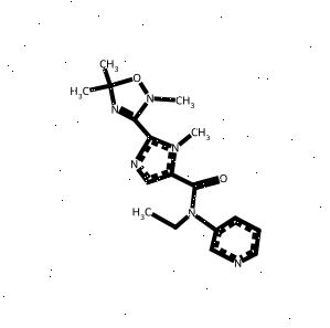 CCN(C(=O)c1cnc(C2=NC(C)(C)ON2C)n1C)c1cccnc1